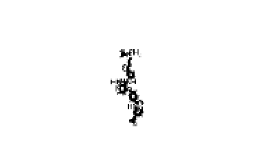 CN(C/C=C/C(=O)N1CCC(Nc2n[nH]c3nccc(Oc4ccc(C(=O)Nc5cc(C6CC6)ccn5)cc4)c23)C1)C1CC1